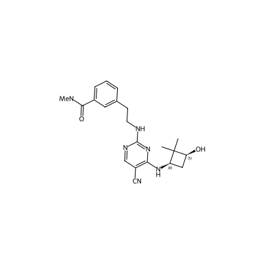 CNC(=O)c1cccc(CCNc2ncc(C#N)c(N[C@@H]3C[C@H](O)C3(C)C)n2)c1